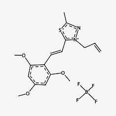 C=CC[n+]1nc(C)sc1/C=C/c1c(OC)cc(OC)cc1OC.F[B-](F)(F)F